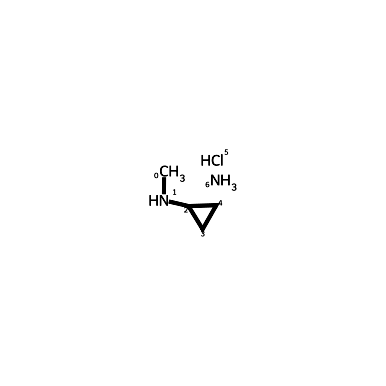 CNC1CC1.Cl.N